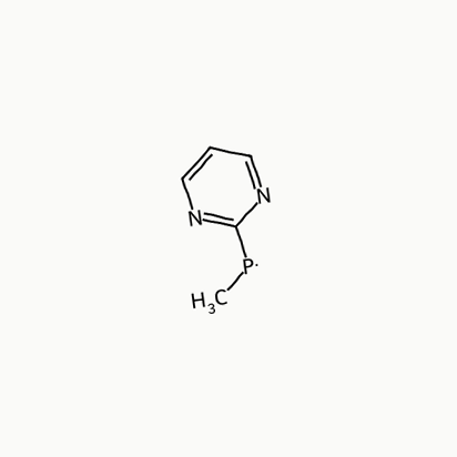 C[P]c1ncccn1